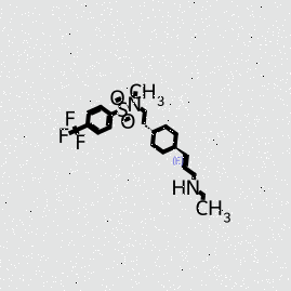 CCNC/C=C/[C@H]1CC[C@H](CCN(C)S(=O)(=O)c2ccc(C(F)(F)F)cc2)CC1